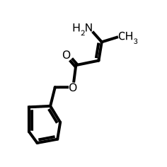 CC(N)=CC(=O)OCc1ccccc1